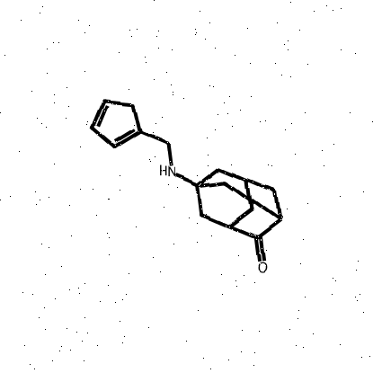 O=C1C2CC3CC1CC(NCC1=CC=CC1)(C3)C2